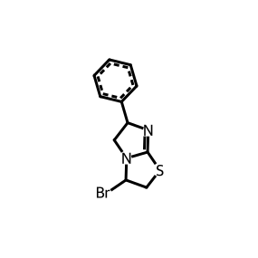 BrC1CSC2=NC(c3ccccc3)CN21